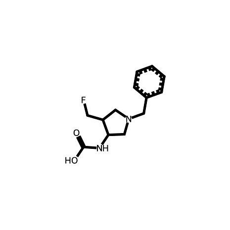 O=C(O)NC1CN(Cc2ccccc2)CC1CF